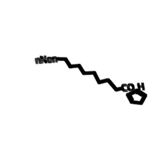 C1=CCC=C1.CCCCCCCCCCCCCCCCCC(=O)O